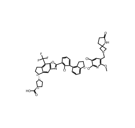 COc1nc(O[C@H]2CCc3c(-c4cccc(-c5nc6cc7c(c(C(F)(F)F)c6o5)CC[C@H]7N5CC[C@@H](C(=O)O)C5)c4Cl)cccc32)c(Cl)cc1CN1CC2(CCC(=O)N2)C1